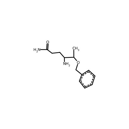 CC(OCc1ccccc1)C(N)CCC(N)=O